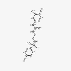 O=C(NCCNS(=O)(=O)c1ccc(F)cc1)Nc1ccc(Cl)c(Cl)c1